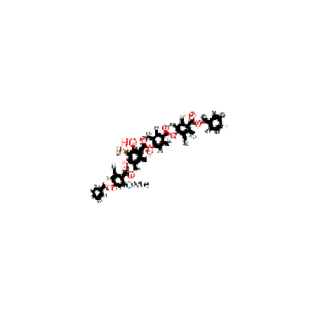 COc1cc(OCc2ccccc2)cc(C)c1C(=O)Oc1c(C)c(C)c(C(=O)Oc2cc(C)c(C(=O)Oc3c(C)c(C)c(C(=O)OCc4ccccc4)c(C)c3C)c(C)c2C)c(O)c1Br